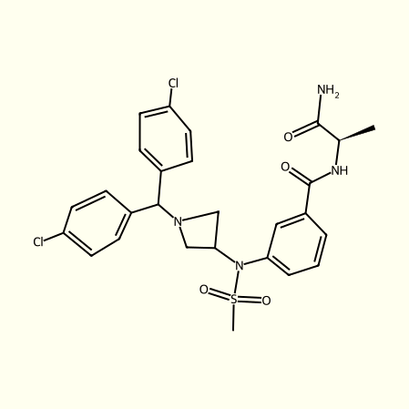 C[C@@H](NC(=O)c1cccc(N(C2CN(C(c3ccc(Cl)cc3)c3ccc(Cl)cc3)C2)S(C)(=O)=O)c1)C(N)=O